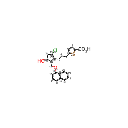 O=C(O)c1ccc(CCC[C@@H]2[C@@H](COc3cccc4ccccc34)[C@H](O)C[C@H]2Cl)s1